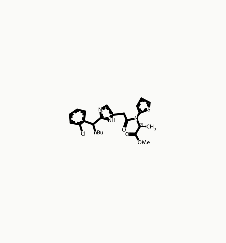 CCCCC(c1ncc(CC(=O)N(c2cccs2)[C@@H](C)C(=O)OC)[nH]1)c1ccccc1Cl